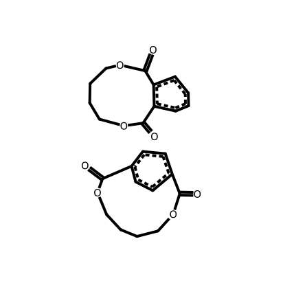 O=C1OCCCCOC(=O)c2ccc1cc2.O=C1OCCCCOC(=O)c2ccccc21